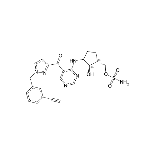 C#Cc1cccc(Cn2ccc(C(=O)c3cncnc3NC3CC[C@H](COS(N)(=O)=O)[C@H]3O)n2)c1